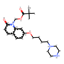 CCC(C)(C)C(=O)OCn1c(=O)ccc2ccc(OCCCCN3CCNCC3)cc21